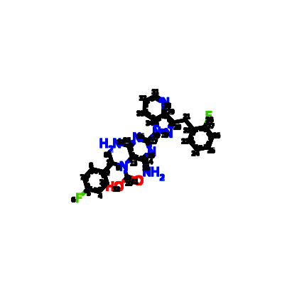 CC(c1ccc(F)cc1)N(C(=O)O)c1c(N)nc(-n2nc(Cc3ccccc3F)c3ncccc32)nc1N